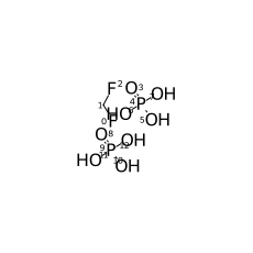 FCF.O=P(O)(O)O.O=P(O)(O)O